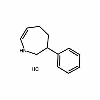 C1=CNCC(c2ccccc2)CC1.Cl